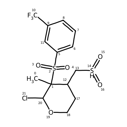 CC1(S(=O)(=O)c2cccc(C(F)(F)F)c2)C(C[SH](=O)=O)CCOC1Cl